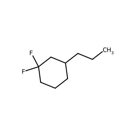 CCCC1CCCC(F)(F)C1